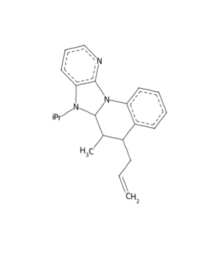 C=CCC1c2ccccc2N2c3ncccc3N(C(C)C)C2C1C